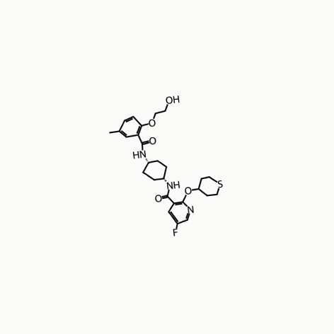 Cc1ccc(OCCO)c(C(=O)N[C@H]2CC[C@@H](NC(=O)c3cc(F)cnc3OC3CCSCC3)CC2)c1